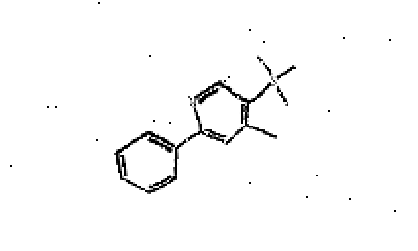 Cc1cc(-c2ccccc2)ncc1S(C)(C)C